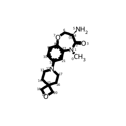 CN1C(=O)[C@@H](N)COc2ccc(N3CCC4(CC3)COC4)cc21